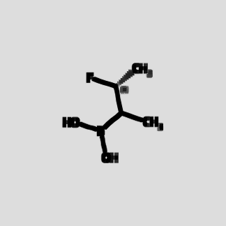 CC(B(O)O)[C@@H](C)F